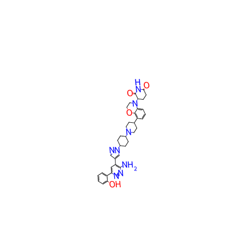 Nc1nnc(-c2ccccc2O)cc1-c1cnn(C2CCC(N3CCC(c4cccc5c4OCCN5C4CCC(=O)NC4=O)CC3)CC2)c1